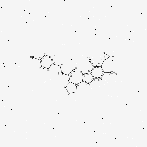 Cc1nc2sc(N3CCCC3C(=O)NCc3ccc(F)cc3)nc2c(=O)n1C1CC1